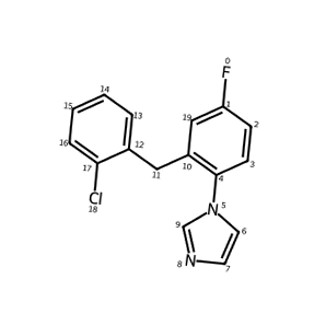 Fc1ccc(-n2ccnc2)c(Cc2ccccc2Cl)c1